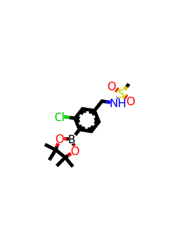 CC1(C)OB(c2ccc(CNS(C)(=O)=O)cc2Cl)OC1(C)C